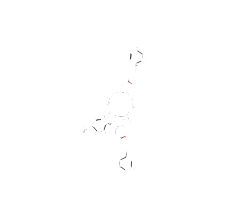 O=C(CN1CCCN2CCN(CC(=O)OCc3ccccc3)CCCN(CC1)CC(Cc1ccc([N+](=O)[O-])cc1)C2)OCc1ccccc1